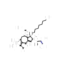 C=C1C(=O)O[C@H]2C3=C(C)[C@H](OC(=O)/C(C)=C\C)[C@@H](OC(=O)CCCCCCC)[C@@H]3[C@@](C)(OC(C)=O)C[C@H](O)[C@]12O